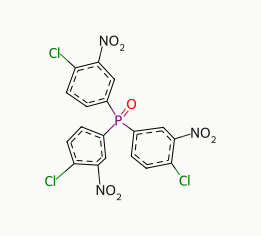 O=[N+]([O-])c1cc(P(=O)(c2ccc(Cl)c([N+](=O)[O-])c2)c2ccc(Cl)c([N+](=O)[O-])c2)ccc1Cl